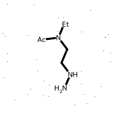 CCN(CCNN)C(C)=O